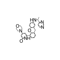 CC(Nc1ccc2c(c1)Cc1cccc(-c3cc(N4CCOCC4)cc(=O)[nH]3)c1O2)c1ccncn1